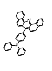 C1=Cc2c(ccc3c(-c4ccc(P(c5ccccc5)c5ccccc5)cc4)c4ccc5ccccc5c4nc23)CC1